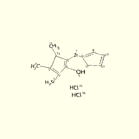 CC1=C([SiH3])C(O)=[C]([Zr][C]2=CC=CC2)C1C.Cl.Cl